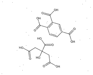 O=C(O)CC(O)(CC(=O)O)C(=O)O.O=C(O)c1ccc(C(=O)O)c(C(=O)O)c1